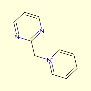 c1cc[n+](Cc2ncccn2)cc1